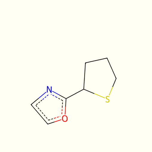 c1coc(C2CCCS2)n1